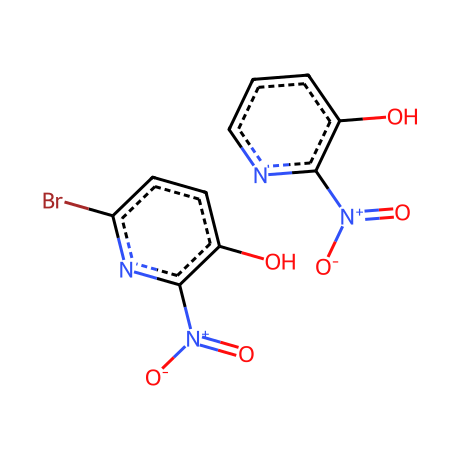 O=[N+]([O-])c1nc(Br)ccc1O.O=[N+]([O-])c1ncccc1O